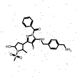 CC1C(c2nn(C(=O)c3ccccc3)c(NCc3ccc(CN)cc3)c2F)CC(O)N1S(C)(=O)=O